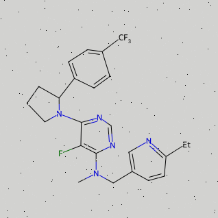 CCc1ccc(CN(C)c2ncnc(N3CCCC3c3ccc(C(F)(F)F)cc3)c2F)cn1